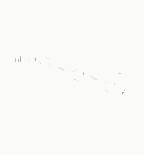 CCCCCc1ccc(C#Cc2ccc(C#Cc3ccc(OCC)c(F)c3)cc2)cc1